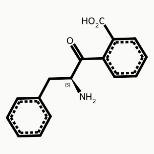 N[C@@H](Cc1ccccc1)C(=O)c1ccccc1C(=O)O